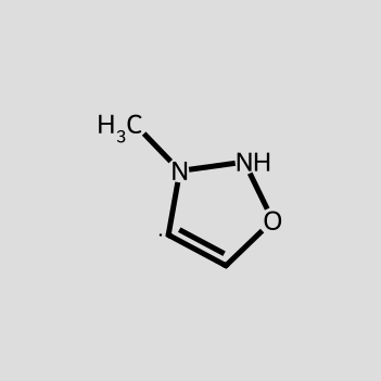 CN1[C]=CON1